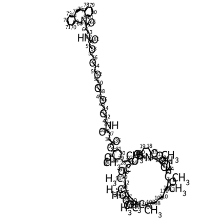 CO[C@H]1C[C@@H]2CC[C@@H](C)[C@@](O)(O2)C(=O)C(=O)N2CCCC[C@H]2C(=O)O[C@H]([C@H](C)C[C@@H]2CC[C@@H](OC(=O)CCC(=O)NCCOCCOCCOCCOCCOCCOCC(=O)NCCC(=O)N3Cc4ccccc4C#Cc4ccccc43)[C@H](OC)C2)CC(=O)[C@H](C)/C=C(\C)[C@@H](O)[C@@H](OC)C(=O)[C@H](C)C[C@H](C)/C=C/C=C/C=C/1C